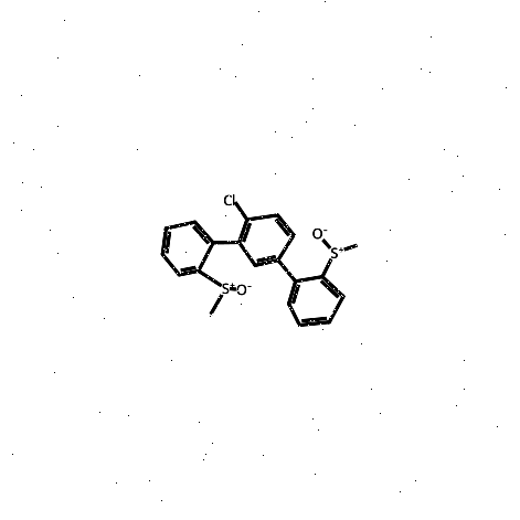 C[S+]([O-])c1ccccc1-c1ccc(Cl)c(-c2ccccc2[S+](C)[O-])c1